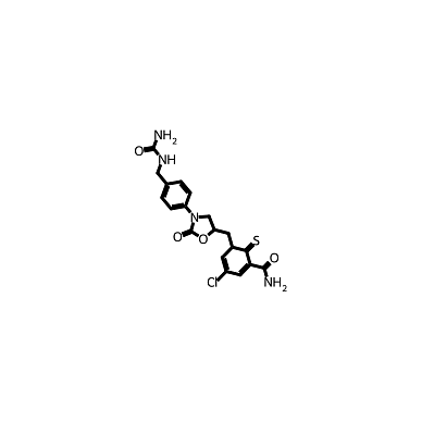 NC(=O)NCc1ccc(N2CC(CC3C=C(Cl)C=C(C(N)=O)C3=S)OC2=O)cc1